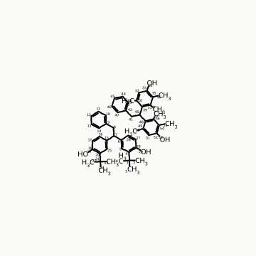 CC(C)(C)c1cc(C(Cc2ccccc2)c2ccc(O)c(C(C)(C)C)c2)ccc1O.Cc1cc(O)c(C)c(C)c1C(Cc1ccccc1)c1c(C)cc(O)c(C)c1C